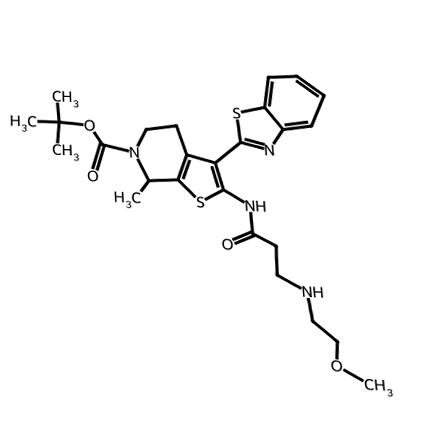 COCCNCCC(=O)Nc1sc2c(c1-c1nc3ccccc3s1)CCN(C(=O)OC(C)(C)C)C2C